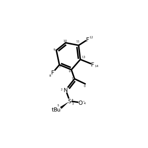 C/C(=N\[S@@+]([O-])C(C)(C)C)c1c(F)ccc(F)c1F